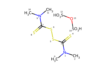 CN(C)C(=S)SSC(=S)N(C)C.O=S(=O)(O)OS(=O)(=O)O